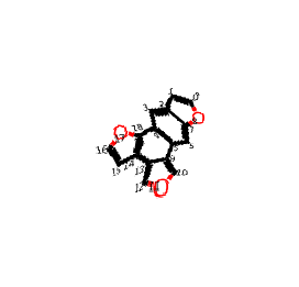 c1cc2cc3c(cc2o1)c1cocc1c1ccoc13